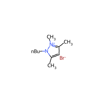 CCCCn1c(C)cc(C)[n+]1C.[Br-]